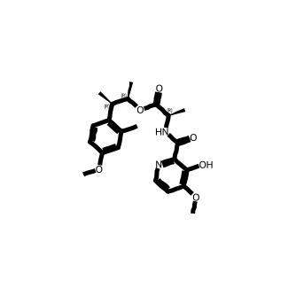 COc1ccc([C@@H](C)[C@@H](C)OC(=O)[C@@H](C)NC(=O)c2nccc(OC)c2O)c(C)c1